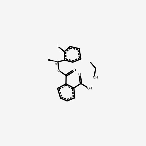 CCO.C[C@H](OC(=O)c1ccccc1C(=O)O)c1ccccc1F